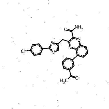 CC(=O)c1cccc(-c2cccc3nc(C(N)=O)c(Cc4cnc(-c5ccc(Cl)cc5)s4)nc23)c1